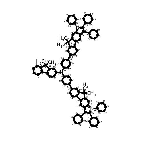 CC1(C)c2ccccc2-c2ccc(N(c3ccc(-c4ccc5c(c4)C(C)(C)c4cc6c(cc4-5)c(-c4ccccc4)c(-c4ccccc4)n6-c4ccccc4)cc3)c3ccc(-c4ccc5c(c4)C(C)(C)c4cc6c(cc4-5)c(-c4ccccc4)c(-c4ccccc4)n6-c4ccccc4)cc3)cc21